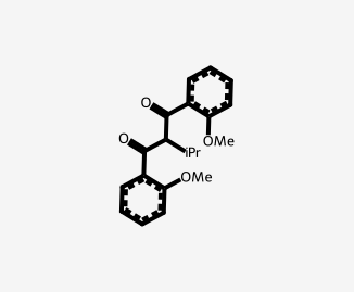 [CH2]C(C)C(C(=O)c1ccccc1OC)C(=O)c1ccccc1OC